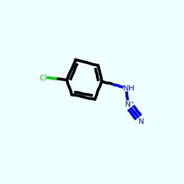 N#[N+]Nc1ccc(Cl)cc1